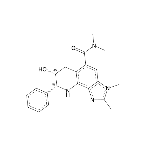 Cc1nc2c3c(c(C(=O)N(C)C)cc2n1C)C[C@@H](O)[C@@H](c1ccccc1)N3